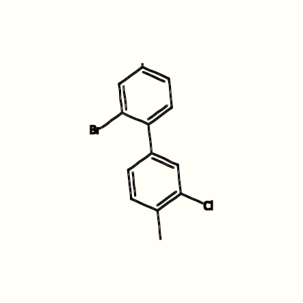 Cc1ccc(-c2cc[c]cc2Br)cc1Cl